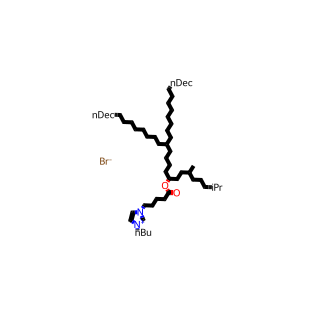 CCCCCCCCCCCCCCCCCCC(CCCCCCCCCCCCCCCCCC)CCCCC(CCC(C)CCCC(C)C)OC(=O)CCCCn1cc[n+](CCCC)c1.[Br-]